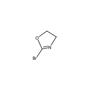 BrC1=N[CH]CO1